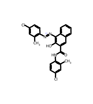 Cc1cc(Cl)ccc1/N=N/c1c(O)c(C(=O)Nc2ccc(Cl)cc2C)cc2ccccc12